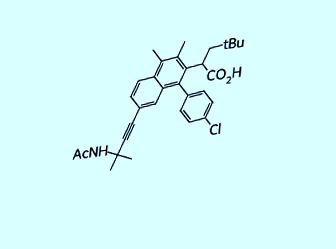 CC(=O)NC(C)(C)C#Cc1ccc2c(C)c(C)c(C(CC(C)(C)C)C(=O)O)c(-c3ccc(Cl)cc3)c2c1